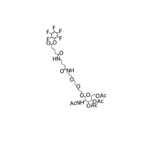 CC(=O)NC1C(OCCOCCOCCNC(=O)CCCNC(=O)CCCC(=O)Oc2c(F)c(F)c(F)c(F)c2F)OC(COC(C)=O)C(OC(C)=O)C1OC(C)=O